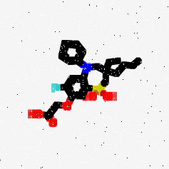 CCCCC1(CC)CN(c2ccccc2)c2cc(F)c(OCC(=O)O)cc2S(O)(O)C1